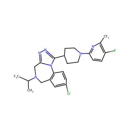 CC(N1Cc2cc(Cl)ccc2-n2c(nnc2C2CCN(c3ccc(F)c(C(F)(F)F)n3)CC2)C1)C(F)(F)F